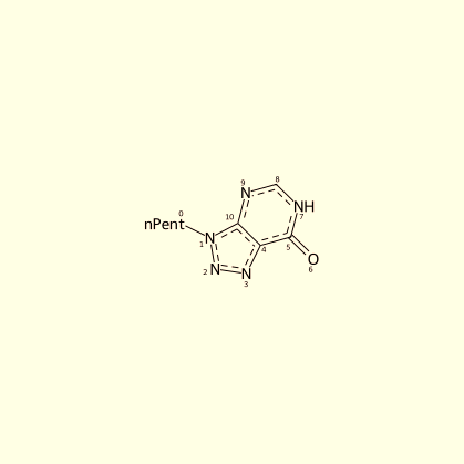 CCCCCn1nnc2c(=O)[nH]cnc21